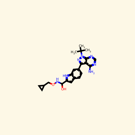 CC(C)(C)n1nc(-c2ccc3cc(C(O)NOCC4CC4)[nH]c3c2)c2c(N)ncnc21